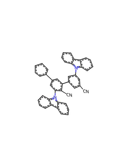 N#Cc1cc(-c2cc(-c3ccccc3)cc(-n3c4ccccc4c4ccccc43)c2C#N)cc(-n2c3ccccc3c3ccccc32)c1